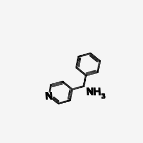 N.c1ccc(Cc2ccncc2)cc1